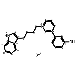 Oc1cccc(-c2ccc[n+](CCCCc3c[nH]c4ccccc34)c2)c1.[Br-]